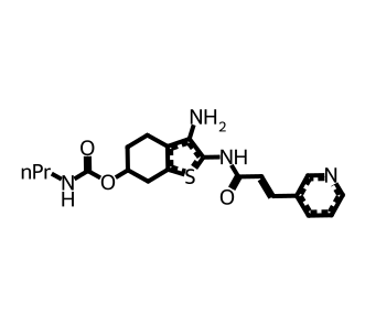 CCCNC(=O)OC1CCc2c(sc(NC(=O)/C=C/c3cccnc3)c2N)C1